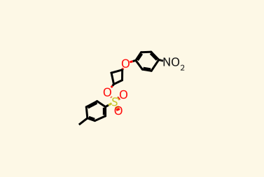 Cc1ccc(S(=O)(=O)OC2CC(Oc3ccc([N+](=O)[O-])cc3)C2)cc1